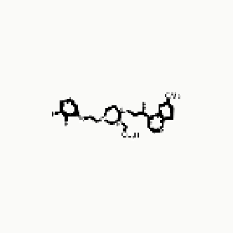 COc1ccc2nccc(C(F)CC[C@@H]3CCN(CCSc4cccc(F)c4F)C[C@@H]3CC(=O)O)c2c1